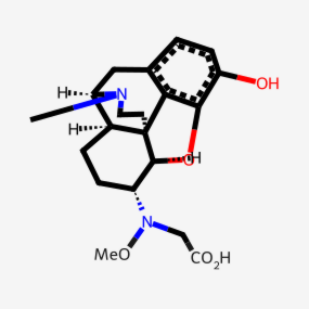 CON(CC(=O)O)[C@@H]1CC[C@H]2[C@H]3Cc4ccc(O)c5c4[C@@]2(CCN3C)[C@H]1O5